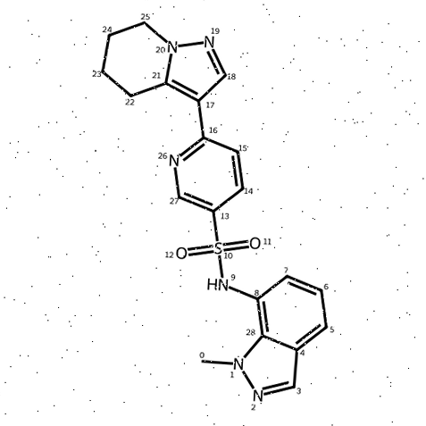 Cn1ncc2cccc(NS(=O)(=O)c3ccc(-c4cnn5c4CCCC5)nc3)c21